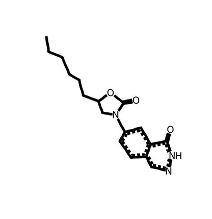 CCCCCCC1CN(c2ccc3cn[nH]c(=O)c3c2)C(=O)O1